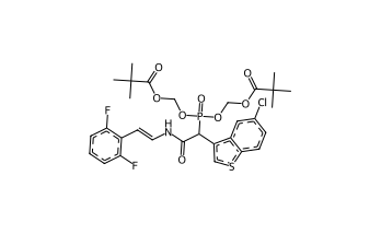 CC(C)(C)C(=O)OCOP(=O)(OCOC(=O)C(C)(C)C)C(C(=O)NC=Cc1c(F)cccc1F)c1csc2ccc(Cl)cc12